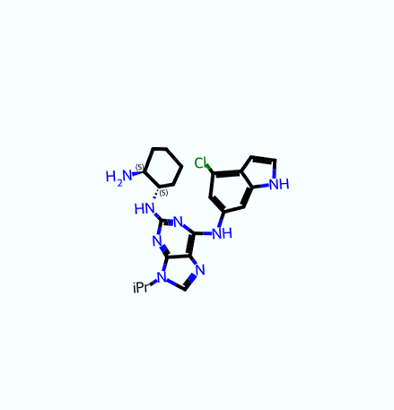 CC(C)n1cnc2c(Nc3cc(Cl)c4cc[nH]c4c3)nc(N[C@H]3CCCC[C@@H]3N)nc21